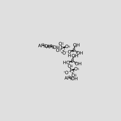 O=P([O-])([O-])[O-].O=P([O-])([O-])[O-].OB(O)O.OB(O)O.[OH][Al+2].[OH][Al+2].[OH][Al+2]